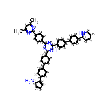 Cc1cc(C)nc(-c2ccc(C3=NC(c4ccc(-c5ccc(C6=CC=C[C@@H]6N)cc5)cc4)NC(c4ccc(-c5ccc(C6C=CC=CN6)cc5)cc4)=N3)cc2)n1